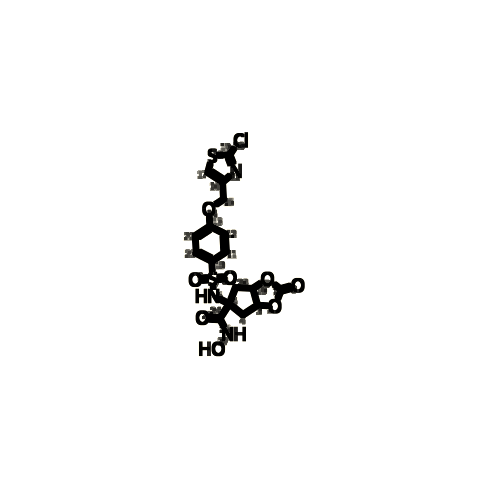 O=C1OC2CC(NS(=O)(=O)c3ccc(OCc4csc(Cl)n4)cc3)(C(=O)NO)CC2O1